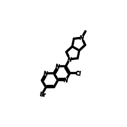 CN1CC2CN(c3nc4ncc(Br)cc4nc3Cl)CC2C1